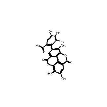 O=C(O)c1cc(O)c(O)c(O)c1-c1cc2c(=O)oc3c(O)c(O)cc4c(=O)oc(c1O)c2c34